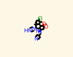 CCC(c1nn(Cc2ccncc2)c2cc3c(c(-c4cccc(Cl)c4C)c12)OCO3)N1CCNCC1